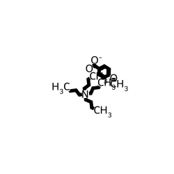 CCCC[N+](CCCC)(CCCC)CCCC.COc1ccc(C(=O)[O-])cc1